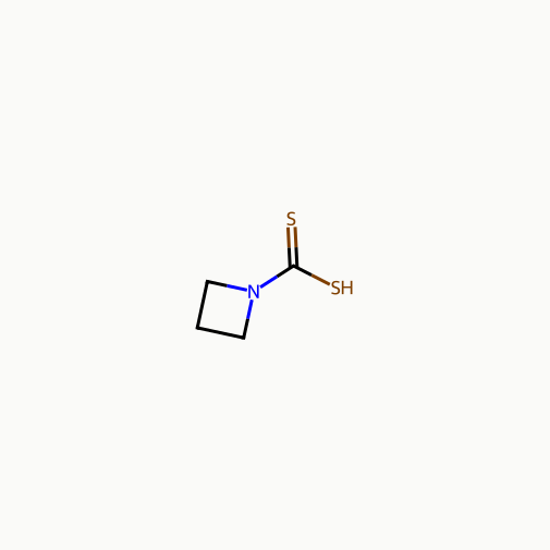 S=C(S)N1CCC1